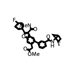 CNC(=O)c1c(-c2ccc(F)cc2)oc2cc(CC(=O)OC)c(-c3cccc(C(=O)NC45CC4C[C@H]5C)c3)cc12